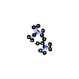 c1ccc(-c2cc(-c3cccc(-c4ccc5c(c4)c4ccccc4n5-c4cc(-n5c6ccccc6c6ccccc65)nc(-c5ccc(-n6c7ccccc7c7ccccc76)cc5)n4)c3)cc(-c3cc(-n4c5ccccc5c5ccccc54)nc(-n4c5ccccc5c5ccccc54)n3)c2)cc1